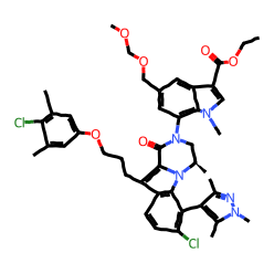 CCOC(=O)c1cn(C)c2c(N3C[C@@H](C)n4c(c(CCCOc5cc(C)c(Cl)c(C)c5)c5ccc(Cl)c(-c6c(C)nn(C)c6C)c54)C3=O)cc(COCOC)cc12